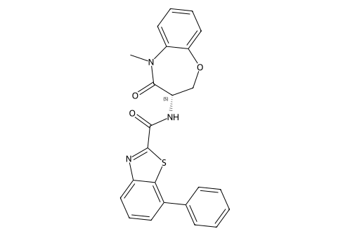 CN1C(=O)[C@@H](NC(=O)c2nc3cccc(-c4ccccc4)c3s2)COc2ccccc21